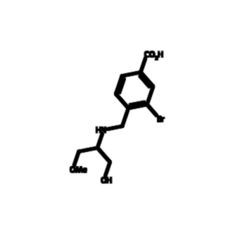 COCC(CO)NCc1ccc(C(=O)O)cc1Br